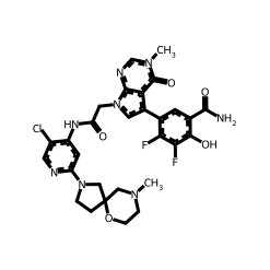 CN1CCOC2(CCN(c3cc(NC(=O)Cn4cc(-c5cc(C(N)=O)c(O)c(F)c5F)c5c(=O)n(C)cnc54)c(Cl)cn3)C2)C1